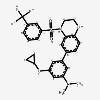 CN(C)c1cc(OC2CC2)cc(-c2ccc3c(c2)N(S(=O)(=O)c2cccc(C(F)(F)F)c2)CCO3)c1